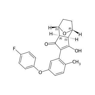 Cc1ccc(Oc2ccc(F)cc2)cc1C1=C(O)[C@H]2[C@@H](C1=O)[C@@H]1CC[C@H]2O1